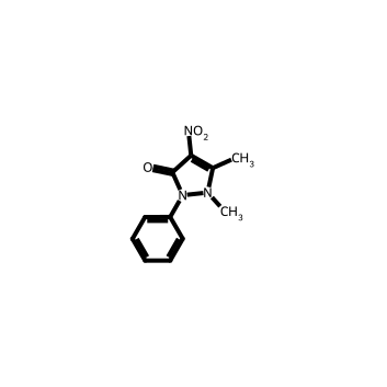 Cc1c([N+](=O)[O-])c(=O)n(-c2ccccc2)n1C